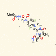 COC(=O)NC[C@H]1CN(c2cc(F)c(N3CCN(C(=O)[C@H](C)NC(=O)c4ccno4)CC3)c(F)c2)C(=O)O1